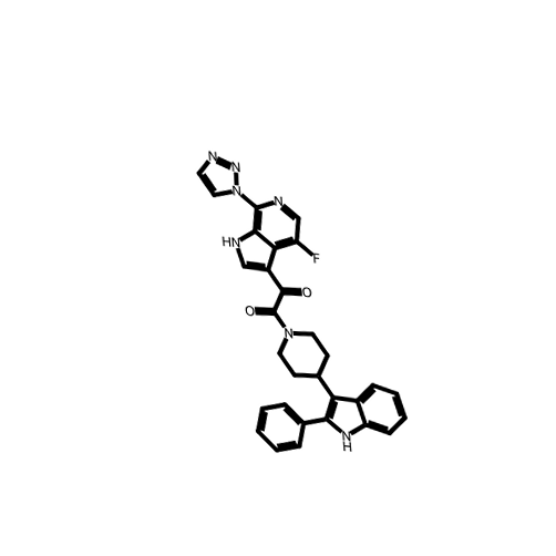 O=C(C(=O)N1CCC(c2c(-c3ccccc3)[nH]c3ccccc23)CC1)c1c[nH]c2c(-n3ccnn3)ncc(F)c12